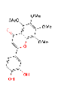 COc1c(OC)c(OC)c2c(=O)cc(-c3ccc(O)c(O)c3)oc2c1OC